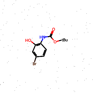 CC(C)(C)OC(=O)Nc1ccc(Br)cc1O